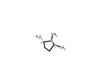 C[C@H]1CC[C@H](C)N1C